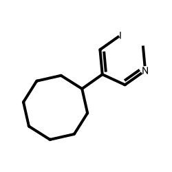 C/N=C\C(=C/I)C1CCCCCCC1